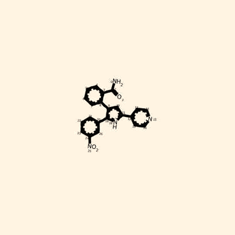 NC(=O)c1ccccc1-c1cc(-c2ccncc2)[nH]c1-c1cccc([N+](=O)[O-])c1